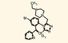 CCN1CCN(Cc2nnc(C)n2-c2ccc(Br)cc2C(=O)c2ccccn2)CC1